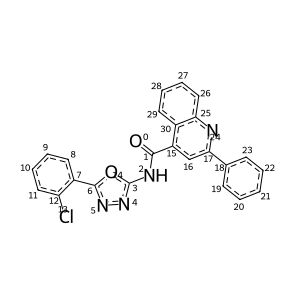 O=C(Nc1nnc(-c2ccccc2Cl)o1)c1cc(-c2ccccc2)nc2ccccc12